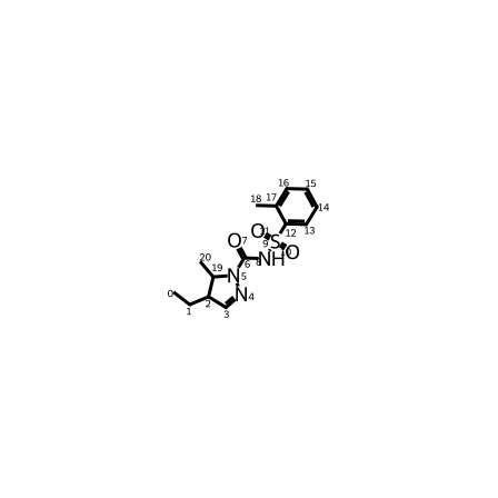 CCC1C=NN(C(=O)NS(=O)(=O)c2ccccc2C)C1C